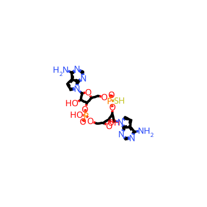 Nc1ncnc2c1ccn2C1OC2COP(=O)(S)OC3C(O)C(COP(=O)(O)OC2C1O)OC3n1ccc2c(N)ncnc21